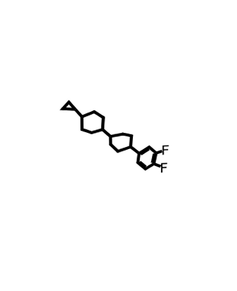 Fc1ccc(C2CCC(C3CCC(C4CC4)CC3)CC2)cc1F